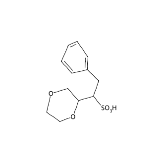 O=S(=O)(O)C(Cc1ccccc1)C1COCCO1